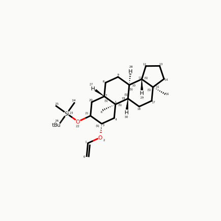 C=CO[C@H]1C[C@@]2(C)[C@@H](CC[C@H]3[C@@H]4CCC[C@@]4(C)CC[C@@H]32)CC1O[Si](C)(C)C(C)(C)C